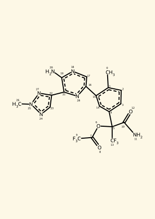 Cc1ccc(C(OC(=O)C(F)(F)F)(C(N)=O)C(F)(F)F)cc1-c1cnc(N)c(-c2cnn(C)n2)n1